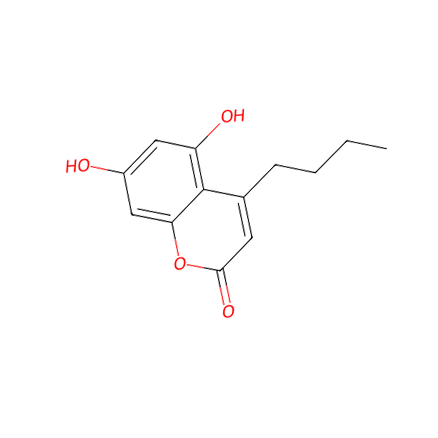 CCCCc1cc(=O)oc2cc(O)cc(O)c12